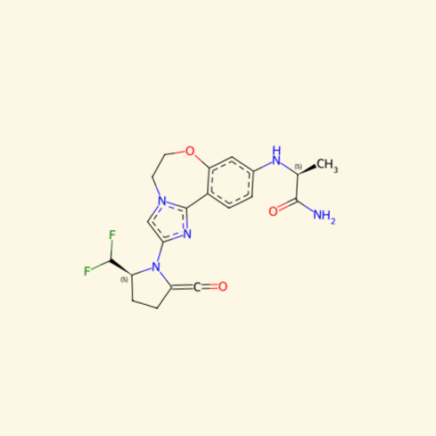 C[C@H](Nc1ccc2c(c1)OCCn1cc(N3C(=C=O)CC[C@H]3C(F)F)nc1-2)C(N)=O